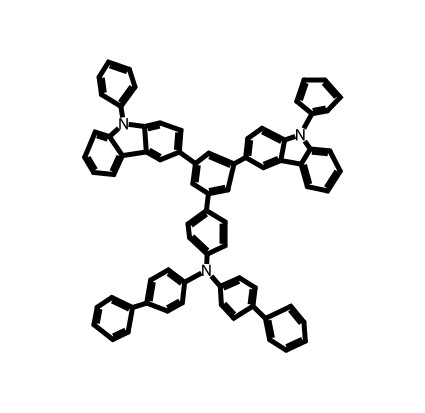 c1ccc(-c2ccc(N(c3ccc(-c4ccccc4)cc3)c3ccc(-c4cc(-c5ccc6c(c5)c5ccccc5n6-c5ccccc5)cc(-c5ccc6c(c5)c5ccccc5n6-c5ccccc5)c4)cc3)cc2)cc1